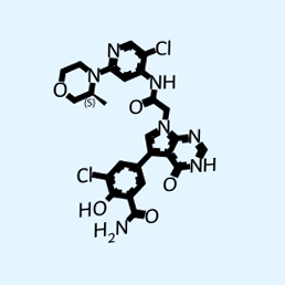 C[C@H]1COCCN1c1cc(NC(=O)Cn2cc(-c3cc(Cl)c(O)c(C(N)=O)c3)c3c(=O)[nH]cnc32)c(Cl)cn1